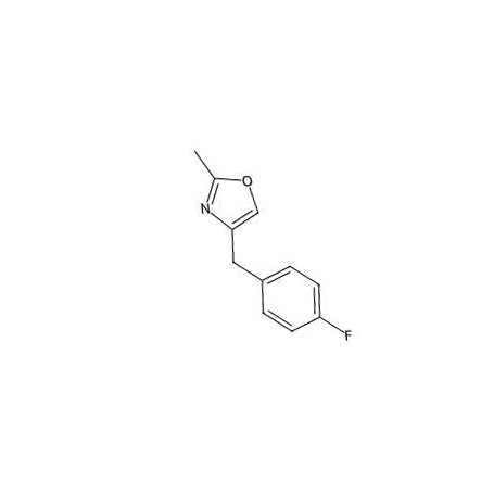 Cc1nc(Cc2ccc(F)cc2)co1